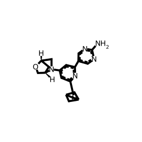 Nc1ncc(-c2cc(N3C[C@@H]4C[C@H]3CO4)cc(N3CC4CC3C4)n2)cn1